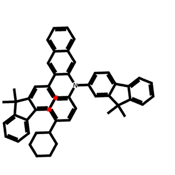 CC1(C)c2ccccc2-c2ccc(-c3cc4ccccc4cc3N(c3ccc(C4CCCCC4)cc3)c3ccc4c(c3)C(C)(C)c3ccccc3-4)cc21